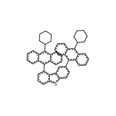 c1cc(-c2c3ccccc3c(C3CCCCC3)c3ccccc23)c2c(c1)sc1ccc(-c3c4ccccc4c(C4CCCCC4)c4ccccc34)cc12